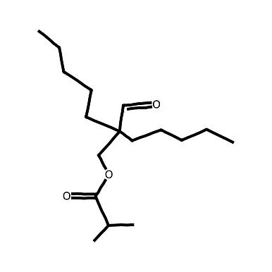 CCCCCC(C=O)(CCCCC)COC(=O)C(C)C